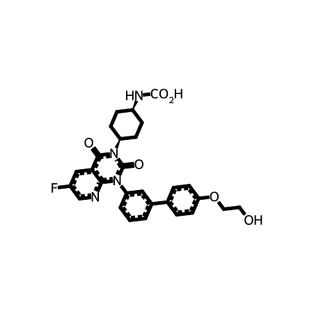 O=C(O)N[C@H]1CC[C@@H](n2c(=O)c3cc(F)cnc3n(-c3cccc(-c4ccc(OCCO)cc4)c3)c2=O)CC1